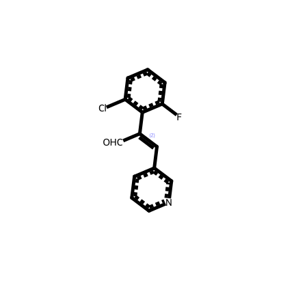 O=C/C(=C\c1cccnc1)c1c(F)cccc1Cl